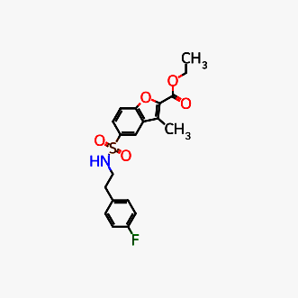 CCOC(=O)c1oc2ccc(S(=O)(=O)NCCc3ccc(F)cc3)cc2c1C